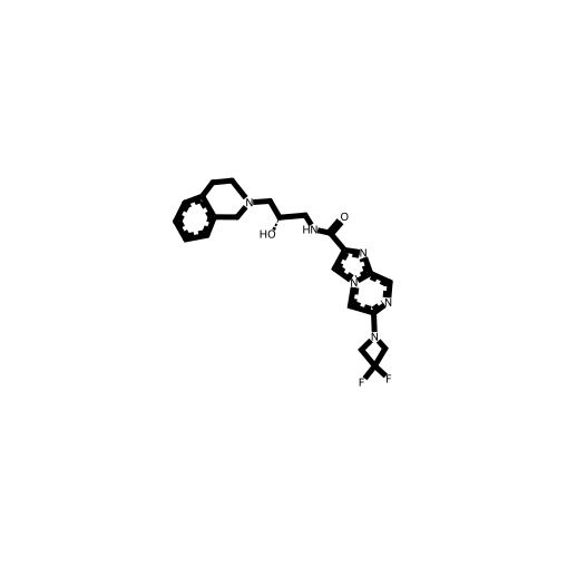 O=C(NC[C@H](O)CN1CCc2ccccc2C1)c1cn2cc(N3CC(F)(F)C3)ncc2n1